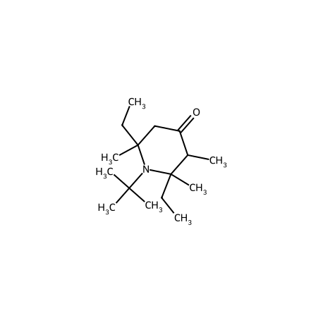 CCC1(C)CC(=O)C(C)C(C)(CC)N1C(C)(C)C